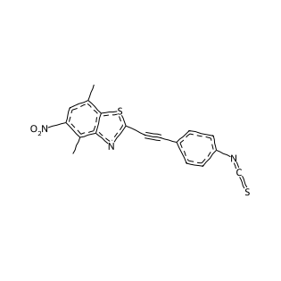 Cc1c([N+](=O)[O-])cc(C)c2sc(C#Cc3ccc(N=C=S)cc3)nc12